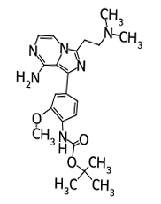 COc1cc(-c2nc(CCN(C)C)n3ccnc(N)c23)ccc1NC(=O)OC(C)(C)C